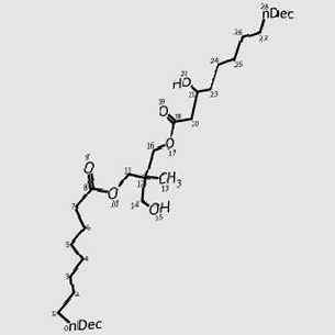 CCCCCCCCCCCCCCCCCC(=O)OCC(C)(CO)COC(=O)CC(O)CCCCCCCCCCCCCCC